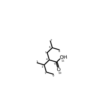 CCC(C)C(CC(C)C)C(=O)O